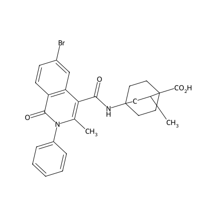 Cc1c(C(=O)NC23CCC(C(=O)O)(CC2)C(C)C3)c2cc(Br)ccc2c(=O)n1-c1ccccc1